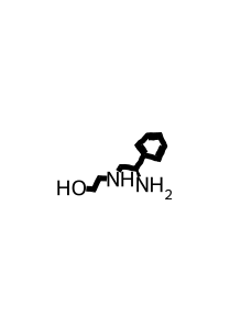 N[C@@H](CNCCO)c1ccccc1